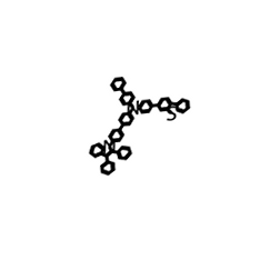 c1ccc(-c2ccc(N(c3ccc(-c4ccc(-n5c(-c6ccccc6)c(-c6ccccc6)c6ccccc65)cc4)cc3)c3ccc(-c4ccc5c(c4)sc4ccccc45)cc3)cc2)cc1